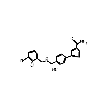 Cl.NC(=O)c1cccc(-c2ccc(CNCc3cccc(Cl)c3Cl)cc2)c1